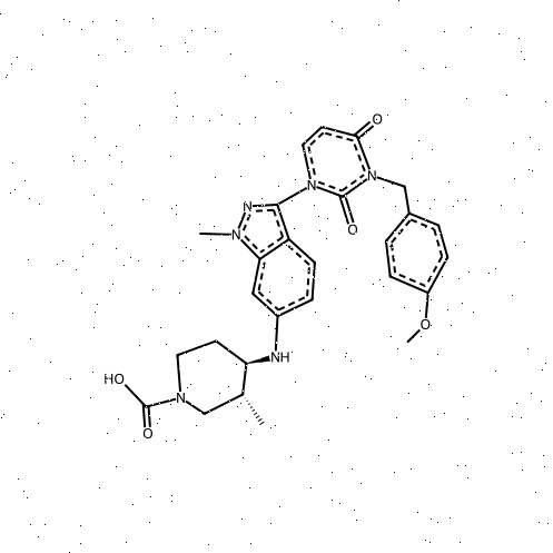 COc1ccc(Cn2c(=O)ccn(-c3nn(C)c4cc(N[C@@H]5CCN(C(=O)O)C[C@H]5C)ccc34)c2=O)cc1